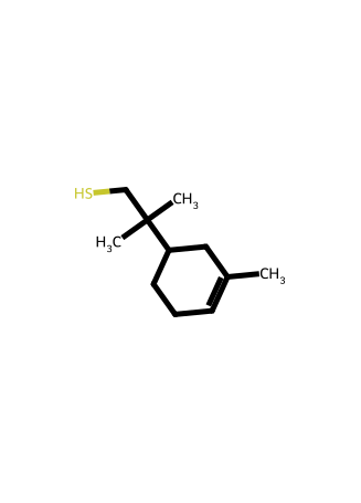 CC1=CCCC(C(C)(C)CS)C1